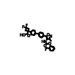 Cc1noc(-c2ccc(-c3ccc(C4(C(=O)O)CC(F)(F)C4)cc3)cc2)c1NC(=O)O[C@H](C)c1ccccc1